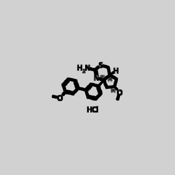 COc1cccc(-c2cccc([C@]34C[C@H](OC)C[C@H]3CSC(N)=N4)c2)c1.Cl